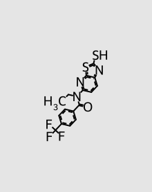 CCN(C(=O)c1ccc(C(F)(F)F)cc1)c1ccc2nc(S)sc2n1